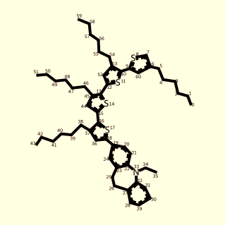 CCCCCCc1csc(-c2sc(-c3sc(-c4sc(-c5ccc6c(c5)CCc5ccccc5N6CC)cc4CCCCCC)cc3CCCCCC)cc2CCCCCC)c1